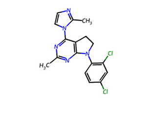 Cc1nc2c(c(-n3ccnc3C)n1)CCN2c1ccc(Cl)cc1Cl